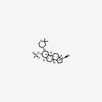 CC1(C)CN([C@H]2C[C@@]3(C)[C@@H](CC[C@@H]4[C@@H]3CC[C@]3(C)[C@@H](C#N)CC[C@@H]43)C[C@@H]2OS(C)(=O)=O)CCO1